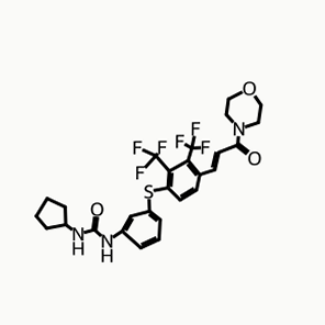 O=C(Nc1cccc(Sc2ccc(/C=C/C(=O)N3CCOCC3)c(C(F)(F)F)c2C(F)(F)F)c1)NC1CCCC1